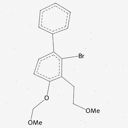 COCCc1c(OCOC)ccc(-c2ccccc2)c1Br